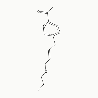 CCCOC/C=C/Cc1ccc(C(C)=O)cc1